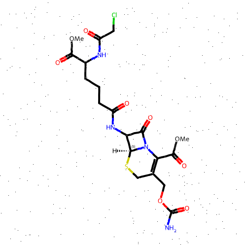 COC(=O)C1=C(COC(N)=O)CS[C@H]2C(NC(=O)CCCC(NC(=O)CCl)C(=O)OC)C(=O)N12